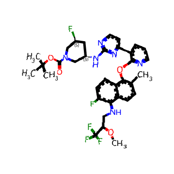 COC(CNc1c(F)ccc2c(Oc3ncccc3-c3ccnc(N[C@H]4C[C@H](F)CN(C(=O)OC(C)(C)C)C4)n3)c(C)ccc12)C(F)(F)F